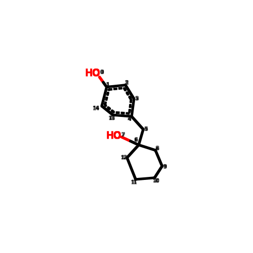 Oc1ccc(CC2(O)CCCCC2)cc1